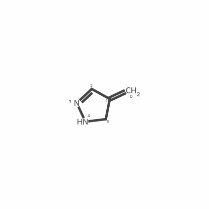 C=C1C=NNC1